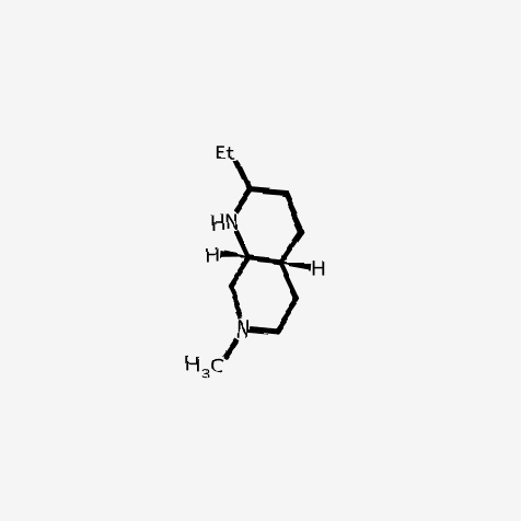 CCC1CC[C@@H]2CCN(C)C[C@@H]2N1